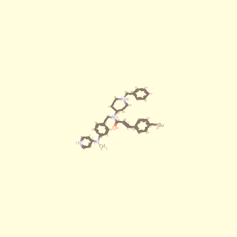 CN(c1ccncc1)c1ccc(CN(C(=O)/C=C/c2ccc(C(C)(C)C)cc2)C2CCN(Cc3ccccc3)CC2)cc1